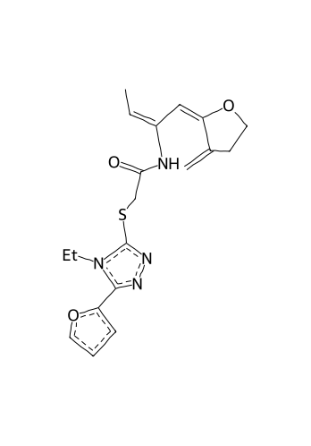 C=C1CCO/C1=C/C(=C\C)NC(=O)CSc1nnc(-c2ccco2)n1CC